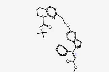 CCOC(=O)/C=C(\c1ccccc1)n1ccc2cc(OCCc3ccc4c(n3)N(C(=O)OC(C)(C)C)CCC4)ccc21